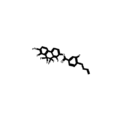 C=CCCc1ccc(C(=O)Oc2ccc3c(c2F)C(F)(F)C(F)(F)c2c-3ccc(CCC)c2F)cc1F